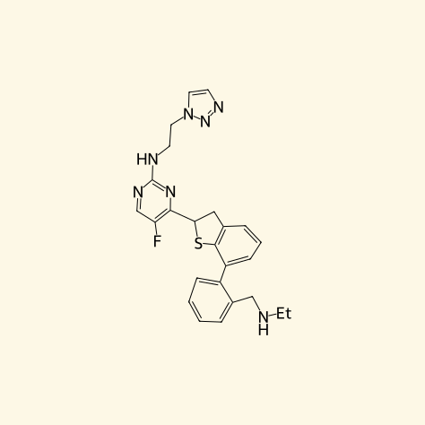 CCNCc1ccccc1-c1cccc2c1SC(c1nc(NCCn3ccnn3)ncc1F)C2